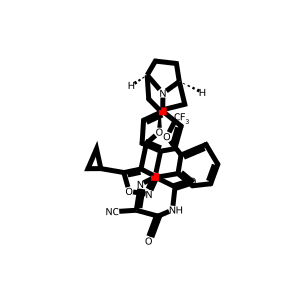 N#Cc1nn(-c2ccc(N3[C@@H]4CC[C@H]3C[C@@H](OCc3c(-c5ccccc5OC(F)(F)F)noc3C3CC3)C4)cc2)c(=O)[nH]c1=O